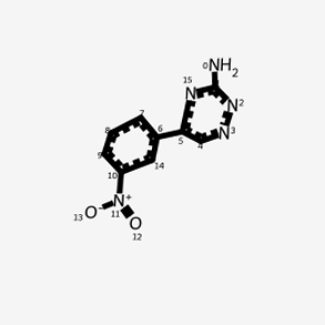 Nc1nncc(-c2cccc([N+](=O)[O-])c2)n1